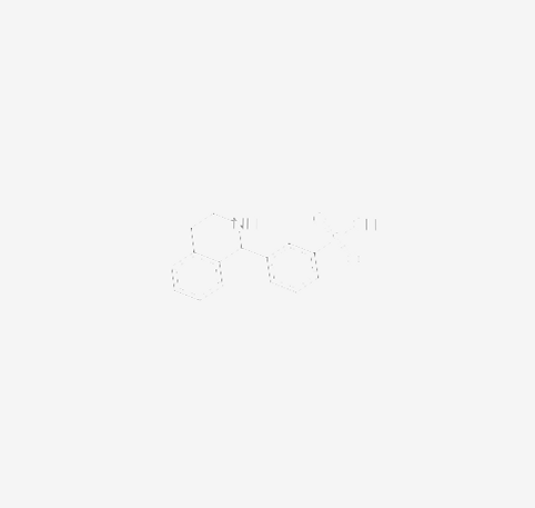 CS(=O)(=O)c1cccc(C2NCCc3ccccc32)c1